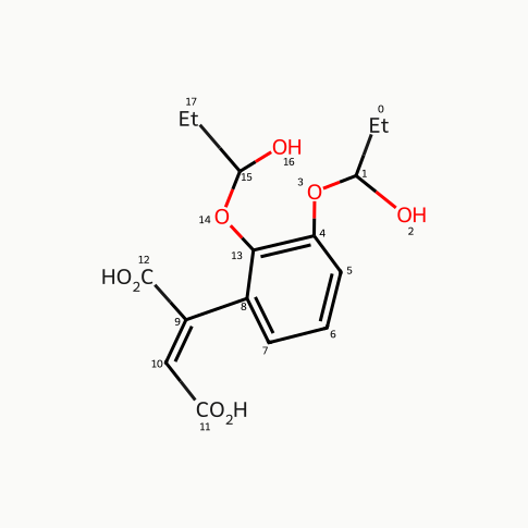 CCC(O)Oc1cccc(/C(=C\C(=O)O)C(=O)O)c1OC(O)CC